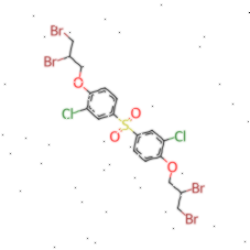 O=S(=O)(c1ccc(OCC(Br)CBr)c(Cl)c1)c1ccc(OCC(Br)CBr)c(Cl)c1